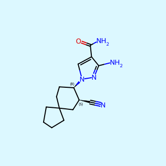 N#C[C@H]1CC2(CCCC2)CC[C@H]1n1cc(C(N)=O)c(N)n1